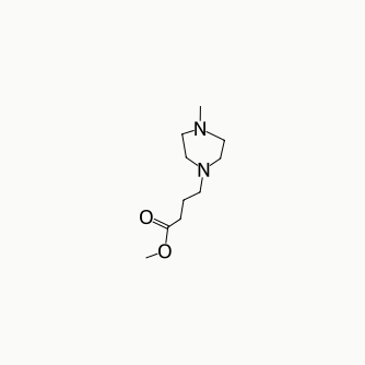 COC(=O)CCCN1CCN(C)CC1